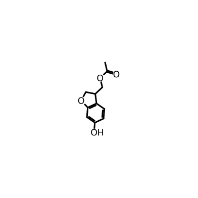 CC(=O)OCC1COc2cc(O)ccc21